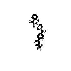 O=C(c1ccc(-c2cncc(C(F)(F)F)c2)c(F)c1)N1CCN(c2nc3ccccc3c(=O)[nH]2)CC1